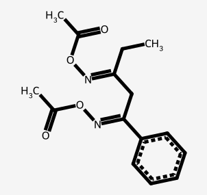 CCC(CC(=NOC(C)=O)c1ccccc1)=NOC(C)=O